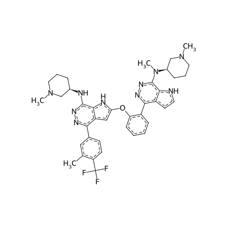 Cc1cc(-c2nnc(N[C@@H]3CCCN(C)C3)c3[nH]c(Oc4ccccc4-c4nnc(N(C)[C@@H]5CCCN(C)C5)c5[nH]ccc45)cc23)ccc1C(F)(F)F